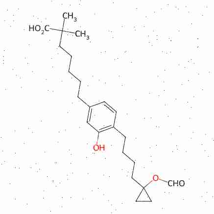 CC(C)(CCCCCc1ccc(CCCCC2(OC=O)CC2)c(O)c1)C(=O)O